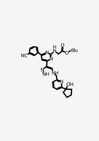 CC(C)(C)OC(=O)CNc1nc(/C(=C/NCc2cccc(C3(O)CCCC3)n2)N=N)cc(-c2cccc(C#N)c2)n1